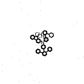 CC1(C)c2ccccc2-c2ccc(N(c3ccc(-c4c(-c5ccccc5)cccc4-c4ccccc4)cc3)c3cccc(-c4ccccc4C4CCCCC4)c3)cc21